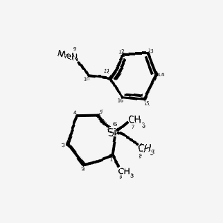 CC1CCCC[Si]1(C)C.CNCc1ccccc1